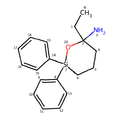 CCC1(N)CCC[Si](c2ccccc2)(c2ccccc2)O1